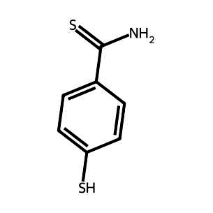 NC(=S)c1ccc(S)cc1